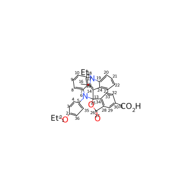 CCOc1ccc(N(c2ccccc2)C2(c3c(C)n(CC)c4ccccc34)OC(=O)c3cc(C(=O)O)ccc32)cc1